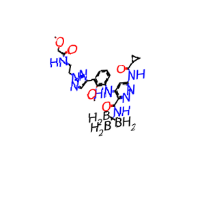 BC(B)(B)NC(=O)c1nnc(NC(=O)C2CC2)cc1Nc1cccc(-c2cnn(CCNC(=O)COC)n2)c1OC